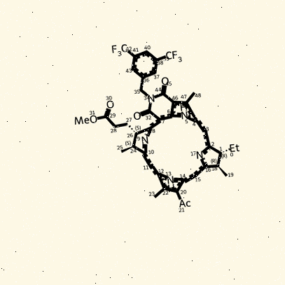 CC[C@H]1c2cc3[nH]c4c(c5nc(cc6[nH]c(cc(n2)[C@@H]1C)c(C(C)=O)c6C)[C@@H](C)[C@@H]5CCC(=O)OC)C(=O)N(Cc1cc(C(F)(F)F)cc(C(F)(F)F)c1)C(=O)c4c3C